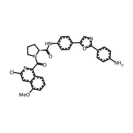 COc1cccc2c(C(=O)N3CCC[C@H]3C(=O)Nc3ccc(-c4cnc(-c5ccc(N)cc5)o4)cc3)nc(Cl)cc12